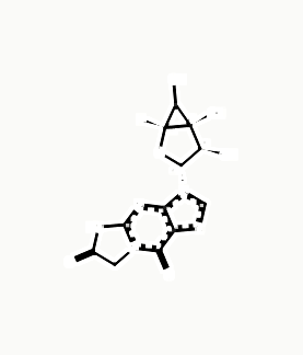 O=C1Cn2c(nc3c(ncn3[C@@H]3O[C@@H]4C(O)[C@]4(O)[C@H]3O)c2=O)N1